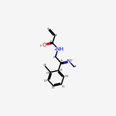 C=CC(=O)NC/C(=N/C)c1ccccc1C